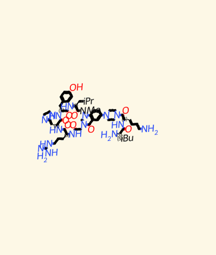 CC[C@H](C)[C@H](N)C(=O)N[C@@H](CCCCN)C(=O)N1CCN(c2ccc3ncn(CC(=O)N[C@@H](CCCNC(=N)N)C(=O)N[C@H](CC4=NCC=N4)C(=O)N[C@@H](Cc4ccc(O)cc4)C(=O)N[C@@H](CC(C)C)C(=O)NC)c(=O)c3c2)CC1